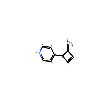 C=C1C=CC1c1ccncc1